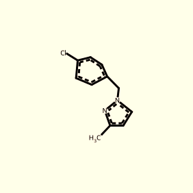 Cc1ccn(Cc2ccc(Cl)cc2)n1